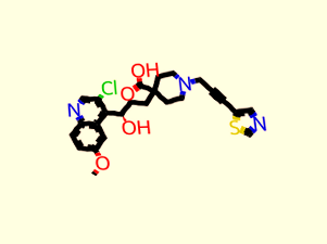 COc1ccc2ncc(Cl)c([C@@H](O)CCC3(C(=O)O)CCN(CC#Cc4cncs4)CC3)c2c1